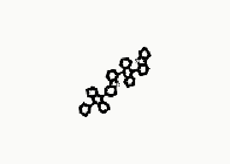 c1ccc(-c2c3ccccc3c(-c3ccc4oc5c(-c6c7ccccc7c(-c7cccc8c7sc7ccccc78)c7ccccc67)cccc5c4c3)c3ccccc23)cc1